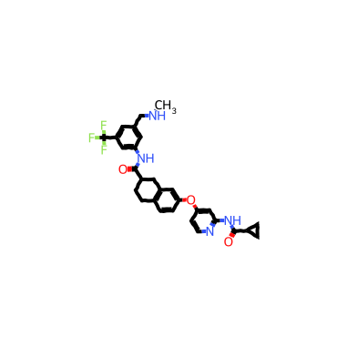 CNCc1cc(NC(=O)C2CCc3ccc(Oc4ccnc(NC(=O)C5CC5)c4)cc3C2)cc(C(F)(F)F)c1